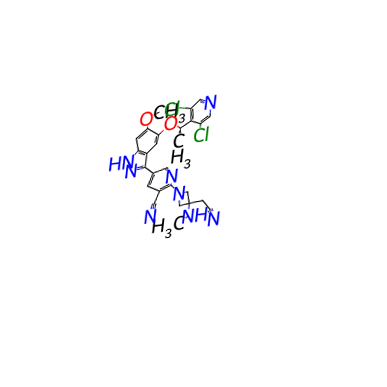 CNC1(CC#N)CN(c2ncc(-c3n[nH]c4cc(OC)c(O[C@H](C)c5c(Cl)cncc5Cl)cc34)cc2C#N)C1